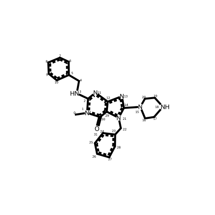 Cn1c(NCc2ccccc2)nc2nc(N3CCNCC3)n(Cc3ccccc3)c2c1=O